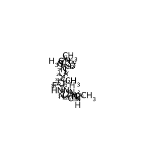 Cc1cc(Nc2nc(Nc3cc(C)c(C4CCN(C(=O)C5COCCN5C(C)C)CC4)cc3F)ncc2Cl)n[nH]1